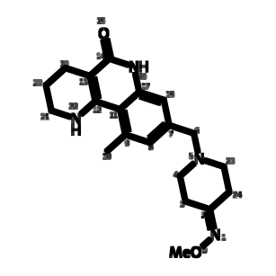 CON=C1CCN(Cc2cc(C)c3c4c(c(=O)[nH]c3c2)CCCN4)CC1